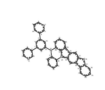 c1cncc(-c2cc(-c3cccnc3)cc(N3c4ccccc4-n4c5cc6c(cc5c5cccc3c54)sc3ccccc36)c2)c1